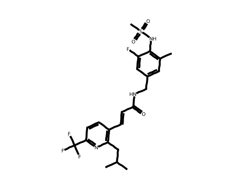 Cc1cc(CNC(=O)C=Cc2ccc(C(F)(F)F)nc2CC(C)C)cc(F)c1NS(C)(=O)=O